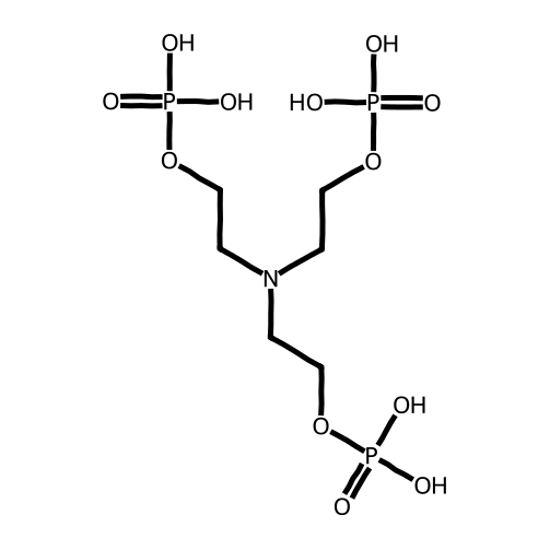 O=P(O)(O)OCCN(CCOP(=O)(O)O)CCOP(=O)(O)O